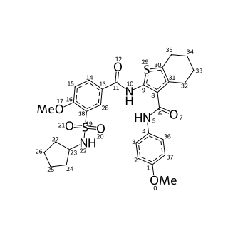 COc1ccc(NC(=O)c2c(NC(=O)c3ccc(OC)c(S(=O)(=O)NC4CCCC4)c3)sc3c2CCCC3)cc1